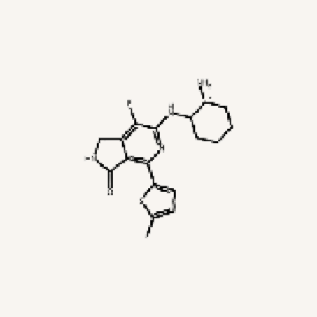 Cc1ccc(-c2nc(NC3CCCC[C@@H]3N)c(F)c3c2C(=O)NC3)s1